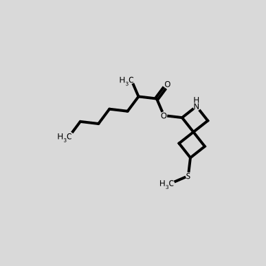 CCCCCC(C)C(=O)OC1NCC12CC(SC)C2